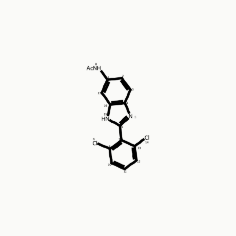 CC(=O)Nc1ccc2nc(-c3c(Cl)cccc3Cl)[nH]c2c1